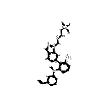 C=Cc1cccc(N(C)c2cccc(N)c2-c2ccc3cnn(COCC[Si](C)(C)C)c3c2)c1